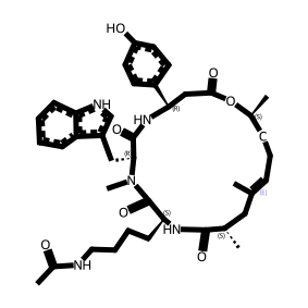 CC(=O)NCCCC[C@@H]1NC(=O)[C@@H](C)C/C(C)=C/CC[C@H](C)OC(=O)C[C@H](c2ccc(O)cc2)NC(=O)[C@@H](Cc2c[nH]c3ccccc23)N(C)C1=O